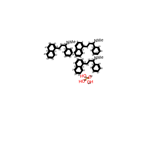 CNC(CCc1cccc2ccccc12)c1ccccc1.CNC(CCc1cccc2ccccc12)c1ccccc1.CNC(CCc1cccc2ccccc12)c1ccccc1.O=P(O)(O)O